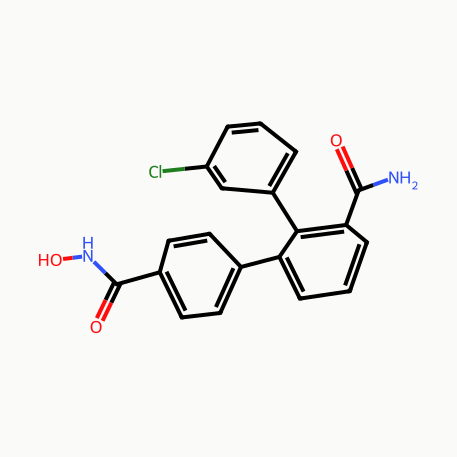 NC(=O)c1cccc(-c2ccc(C(=O)NO)cc2)c1-c1cccc(Cl)c1